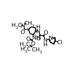 CN(C)C(=O)[C@H]1CC[C@H](NC(=O)C(=O)Nc2ccc(Cl)cn2)[C@H](NC(=O)OC(C)(C)C)C1